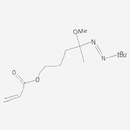 C=CC(=O)OCCCC(C)(/N=N/C(C)(C)C)OC